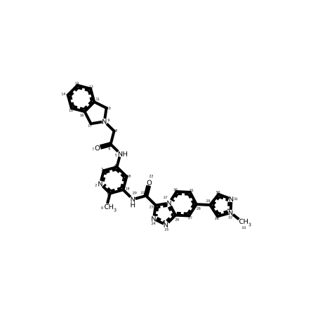 Cc1ncc(NC(=O)CN2Cc3ccccc3C2)cc1NC(=O)c1nnc2cc(-c3cnn(C)c3)ccn12